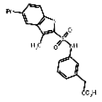 Cc1c(S(=O)(=O)Nc2cccc(CC(=O)O)c2)sc2ccc(C(C)C)cc12